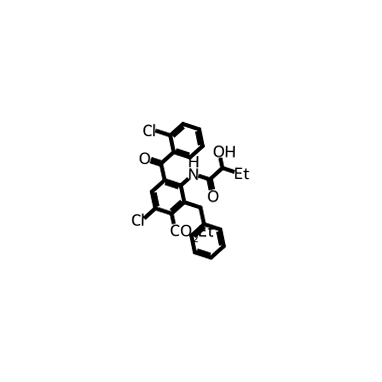 CCOC(=O)c1c(Cl)cc(C(=O)c2ccccc2Cl)c(NC(=O)C(O)CC)c1Cc1ccccc1